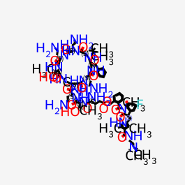 CCN(CC)CCNC(=O)c1c(C)[nH]c(/C=C2\C(=O)N(C(=O)c3c(C)cccc3COC(=O)CC[C@H](N)C(=O)N[C@H](C(=O)N[C@@H](CCN)C(=O)N[C@H]3CCNC(=O)[C@H]([C@@H](C)O)NC(=O)[C@H](CCN)NC(=O)[C@H](CCN)NC(=O)[C@H](CC(C)C)NC(=O)[C@@H](Cc4ccccc4)NC(=O)[C@H](CCN)NC3=O)[C@@H](C)O)c3ccc(F)cc32)c1C